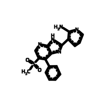 CS(=O)(=O)c1cnc2[nH]c(-c3cccnc3N)nc2c1-c1ccccc1